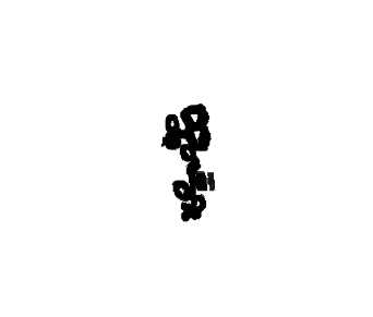 COC(=O)c1c(OCCNC(=O)OC(C)(C)C)ccc2ccccc12